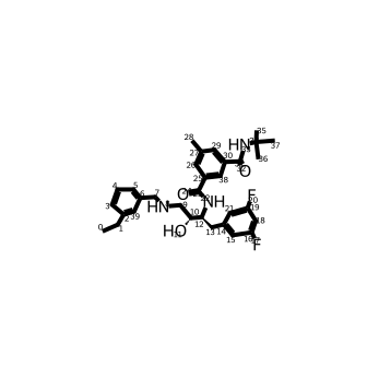 CCc1cccc(CNC[C@@H](O)[C@H](Cc2cc(F)cc(F)c2)NC(=O)c2cc(C)cc(C(=O)NC(C)(C)C)c2)c1